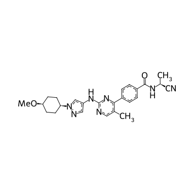 CO[C@H]1CC[C@@H](n2cc(Nc3ncc(C)c(-c4ccc(C(=O)N[C@@H](C)C#N)cc4)n3)cn2)CC1